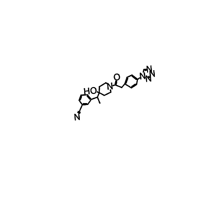 CC(c1cccc(C#N)c1)C1(O)CCN(C(=O)Cc2ccc(-n3cnnn3)cc2)CC1